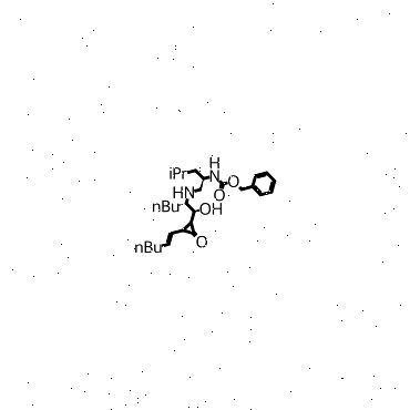 CCCCC=CC1C(=O)C1[C@H](O)[C@H](CCCC)NC[C@@H](CC(C)C)NC(=O)OCc1ccccc1